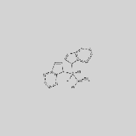 CC(C)[SiH](C)[Zr]([Cl])([Cl])([CH]1C=Cc2ccccc21)[CH]1C=Cc2ccccc21